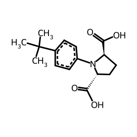 CC(C)(C)c1ccc(N2[C@@H](C(=O)O)CC[C@@H]2C(=O)O)cc1